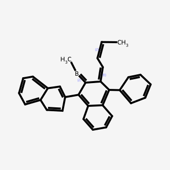 C/B=c1/c(-c2ccc3ccccc3c2)c2ccccc2c(-c2ccccc2)/c1=C/C=C\C